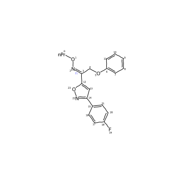 CCCO/N=C(\COc1ccccc1)c1cc(-c2ccc(F)cc2)no1